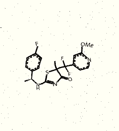 COc1cc(C(F)(F)C2(C)SC(N[C@@H](C)c3ccc(F)cc3)=NC2=O)ccn1